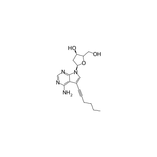 CCCCC#Cc1cn([C@H]2C[C@@H](O)C(CO)O2)c2ncnc(N)c12